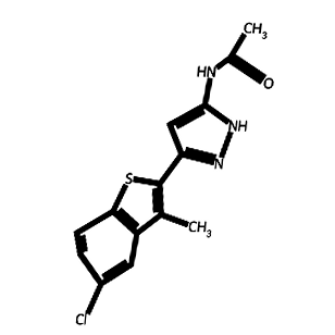 CC(=O)Nc1cc(-c2sc3ccc(Cl)cc3c2C)n[nH]1